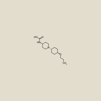 CCCO[C@H]1CC[C@H](N2CCC(NC(=O)O)CC2)CC1